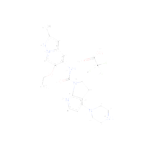 CCOc1cn2nc(C)cc2cc1NC(=O)N1CCc2c(N3CCNCC3)ccnc21.O=C(O)C(F)(F)F